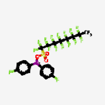 O=S(=O)(O[I+](c1ccc(F)cc1)c1ccc(F)cc1)C(F)(F)C(F)(F)C(F)(F)C(F)(F)C(F)(F)C(F)(F)C(F)(F)C(F)(F)F